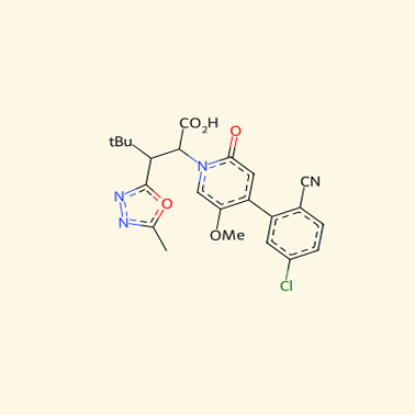 COc1cn(C(C(=O)O)C(c2nnc(C)o2)C(C)(C)C)c(=O)cc1-c1cc(Cl)ccc1C#N